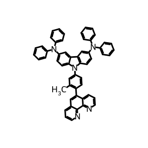 Cc1cc(-n2c3ccc(N(c4ccccc4)c4ccccc4)cc3c3cc(N(c4ccccc4)c4ccccc4)ccc32)ccc1-c1cc2cccnc2c2ncccc12